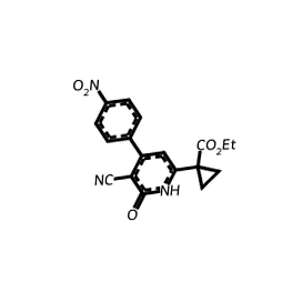 CCOC(=O)C1(c2cc(-c3ccc([N+](=O)[O-])cc3)c(C#N)c(=O)[nH]2)CC1